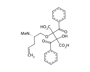 C=CC[C@@H](COC(C(=O)O)(C(=O)c1ccccc1)C(O)(C(=O)O)C(=O)c1ccccc1)NC